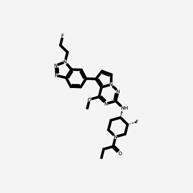 CCC(=O)N1CC[C@H](Nc2nc(OC)c3c(-c4ccc5nnn(CCF)c5c4)ccn3n2)[C@H](F)C1